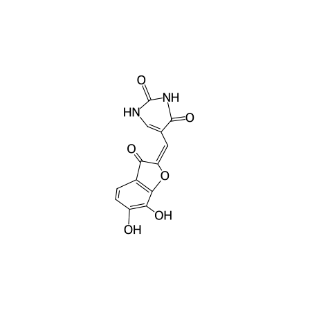 O=C1/C(=C\c2c[nH]c(=O)[nH]c2=O)Oc2c1ccc(O)c2O